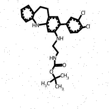 CC(C)(C)OC(=O)NCCNc1cc2c(cc1-c1ccc(Cl)c(Cl)c1)CCc1ccccc1N2